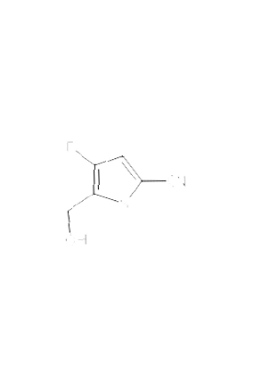 N#Cc1cc(F)c(CO)s1